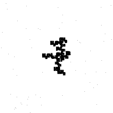 C/C=C/C(=N\C=C\NN)OC(C=C(F)C=C(C)C)/C(F)=C\CC